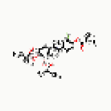 C=C(C)C(=O)Oc1ccc(/C(C)=C(\C)c2ccc(OC(=O)C(=C)C)c(OC(=O)C(=C)C)c2)cc1F